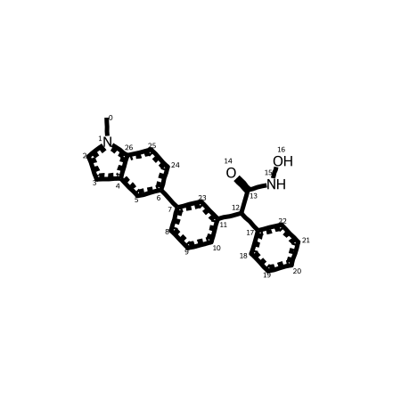 Cn1ccc2cc(-c3cccc(C(C(=O)NO)c4ccccc4)c3)ccc21